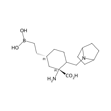 N[C@]1(C(=O)O)C[C@H](CCB(O)O)CCC1CN1C2CCC1CC2